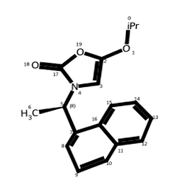 CC(C)Oc1cn([C@H](C)c2cccc3ccccc23)c(=O)o1